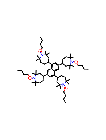 CCCCON1C(C)(C)CCC(c2cc(C3CCC(C)(C)N(OCCCC)C(C)(C)C3)c3cc(C4CCC(C)(C)N(OCCCC)C(C)(C)C4)cc(C4CCC(C)(C)N(OCCCC)C(C)(C)C4)c3c2)CC1(C)C